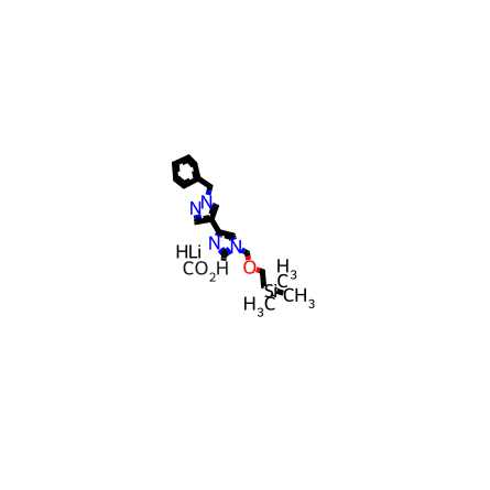 C[Si](C)(C)CCOCn1cc(-c2cnn(Cc3ccccc3)c2)nc1C(=O)O.[LiH]